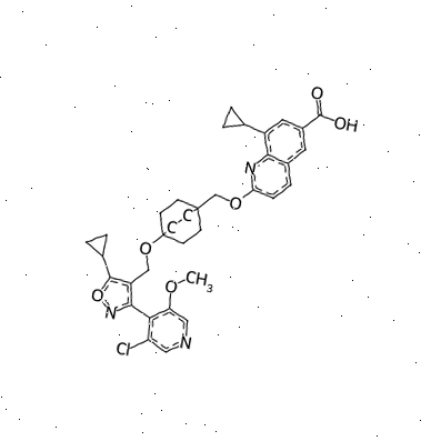 COc1cncc(Cl)c1-c1noc(C2CC2)c1COC12CCC(COc3ccc4cc(C(=O)O)cc(C5CC5)c4n3)(CC1)CC2